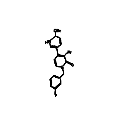 COC1C=CC(c2ccn(Cc3cccc(F)c3)c(=O)c2Br)=CN1